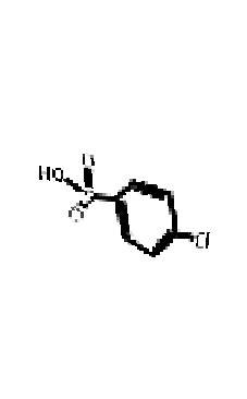 O=S(=O)(O)c1[c]cc(Cl)cc1